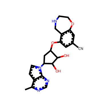 Cc1ncnc2c1ccn2C1CC(Oc2cc(C#N)cc3c2CNCCO3)C(O)C1O